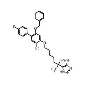 CCCCCC(C)(CCCCCOc1cc(OCc2ccccc2)c(-c2ccc(F)cc2)cc1CC)c1nnn[nH]1